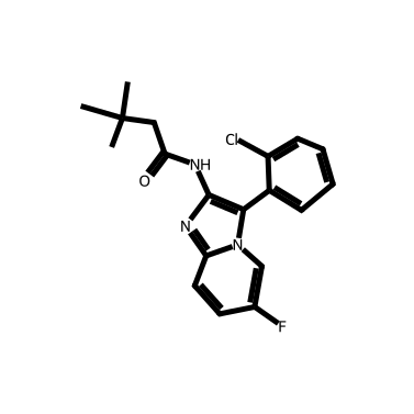 CC(C)(C)CC(=O)Nc1nc2ccc(F)cn2c1-c1ccccc1Cl